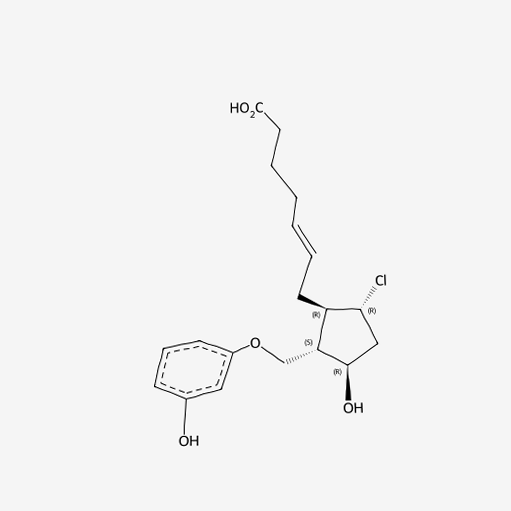 O=C(O)CCCC=CC[C@@H]1[C@@H](COc2cccc(O)c2)[C@H](O)C[C@H]1Cl